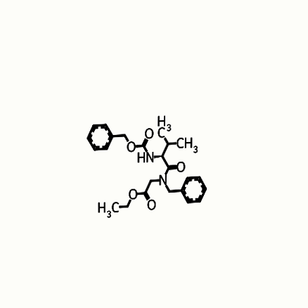 CCOC(=O)CN(Cc1ccccc1)C(=O)[C@@H](NC(=O)OCc1ccccc1)C(C)C